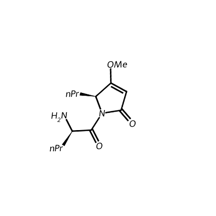 CCC[C@@H](N)C(=O)N1C(=O)C=C(OC)[C@@H]1CCC